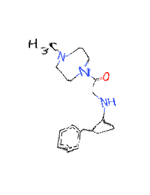 CN1CCN(C(=O)CNC2CC2c2ccccc2)CC1